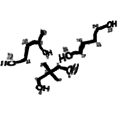 CC(C)(CO)CO.CC(O)CCO.OCCCCO